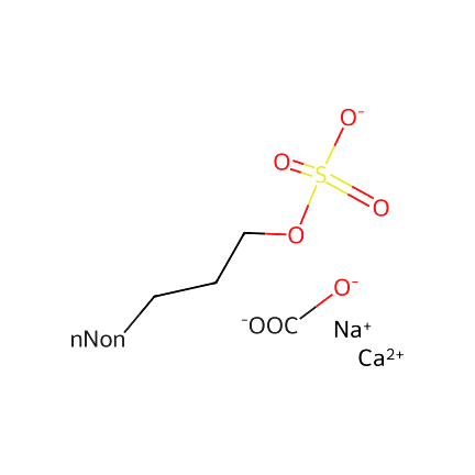 CCCCCCCCCCCCOS(=O)(=O)[O-].O=C([O-])[O-].[Ca+2].[Na+]